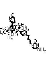 CC(C)(C)N(CC(=O)c1ccc(Cl)nc1)C(=O)OC(=O)N(C1CCN(CCCCn2ccc(N)nc2=O)CC1)C(C)(C)C